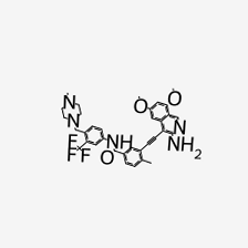 COc1cc(OC)c2cnc(N)c(C#Cc3cc(C(=O)Nc4ccc(CN5CCN(C)CC5)c(C(F)(F)F)c4)ccc3C)c2c1